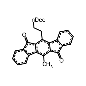 CCCCCCCCCCCCc1c2c(=O)c3ccccc3c2c(C)c2c(=O)c3ccccc3c12